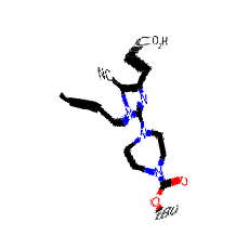 CC#CCn1c(N2CCN(C(=O)OC(C)(C)C)CC2)nc(/C=C/C(=O)O)c1C#N